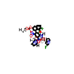 C#Cc1c(F)ccc2cc(OCOC)cc(-c3c([N+](=O)[O-])cc4c(N5C[C@H]6CC[C@@H](C5)N6C(=O)OC(C)(C)C)nc(OC[C@@]56CCCN5C[C@H](F)C6)nc4c3F)c12